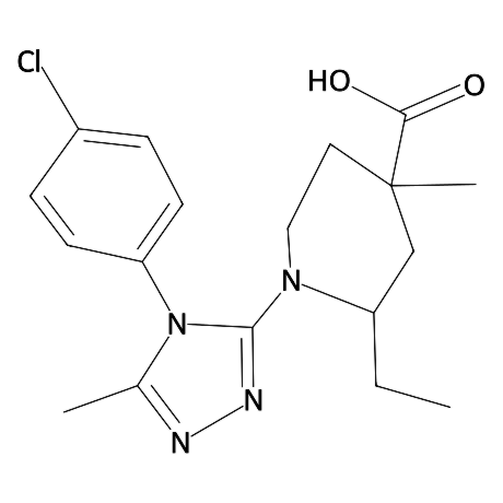 CCC1CC(C)(C(=O)O)CCN1c1nnc(C)n1-c1ccc(Cl)cc1